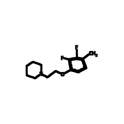 Cc1ccc(OCCN2CCCCC2)c(F)c1F